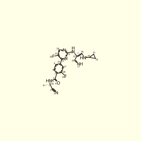 C[C@@H](C#N)NC(=O)c1ccc(-c2nc(N/C(C=N)=C/NC3CC3)ncc2F)cc1F